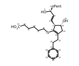 CCCCC[C@H](O)/C=C/[C@@H]1C(SCCCCCC(=O)O)=C(CCc2ccccc2)C[C@H]1O